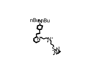 CCCCN(CCCC)c1ccc(/C=C/c2cccc[n+]2CCC[N+](C)(C)CCCSc2n(C)cc[n+]2C)cc1